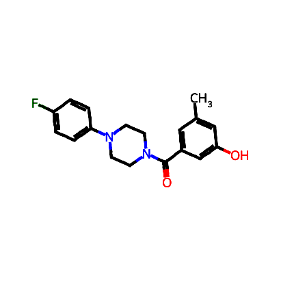 Cc1cc(O)cc(C(=O)N2CCN(c3ccc(F)cc3)CC2)c1